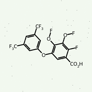 O=C(O)c1cc(Oc2cc(C(F)(F)F)cc(C(F)(F)F)c2)c(OF)c(OF)c1F